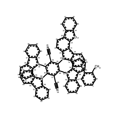 Cc1ccccc1-c1ccc2c3c4oc5ccccc5c4ccc3n(-c3c(C#N)c(-n4c5ccccc5c5ccccc54)c(-n4c5ccccc5c5ccccc54)c(C#N)c3-n3c4ccccc4c4ccccc43)c2c1